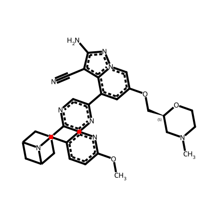 COc1ccc(CN2C3CC2CN(c2cnc(-c4cc(OC[C@@H]5CN(C)CCO5)cn5nc(N)c(C#N)c45)cn2)C3)cn1